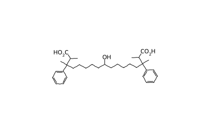 CC(C(=O)O)C(C)(CCCCCC(O)CCCCCC(C)(c1ccccc1)C(C)C(=O)O)c1ccccc1